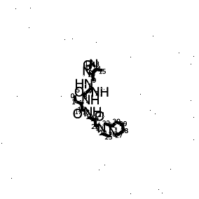 CCC(NC(=O)C(=N)NCc1nonc1C)C(=O)NCC(=O)CN1CCN2CCCCC2C1